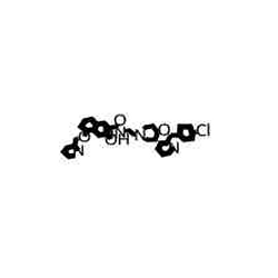 O=C(NCCN1CCC(OC(c2ccc(Cl)cc2)c2ccccn2)CC1)c1cc2cccc(OCc3ccccn3)c2cc1O